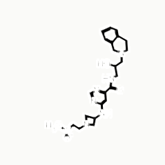 C[S+]([O-])CCN1CC(Nc2cc(C(=O)NCC(O)CN3CCc4ccccc4C3)ncn2)C1